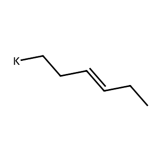 CC/C=C/C[CH2][K]